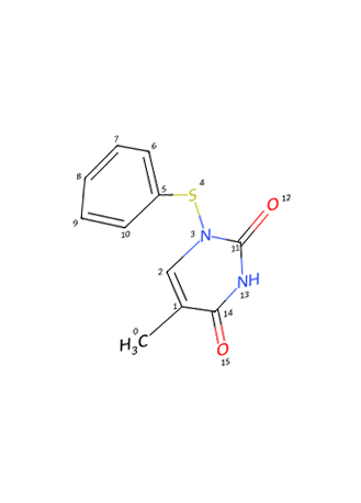 Cc1cn(Sc2ccccc2)c(=O)[nH]c1=O